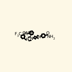 COc1cc(CN2CCN(C3CC4(C3)CN(c3ccc(C(N)=O)cc3)C4)[C@H](c3ccccc3C(C)C)C2)ccc1C(F)(F)F